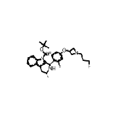 C[C@@H]1Cc2c(n(C(=O)OC(C)(C)C)c3ccccc23)[C@@H](c2c(F)cc(OC3CN(CCCF)C3)cc2F)N1